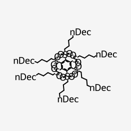 CCCCCCCCCCCCCCS(=O)(=O)c1c(S(=O)(=O)CCCCCCCCCCCCCC)c(S(=O)(=O)CCCCCCCCCCCCCC)c(S(=O)(=O)CCCCCCCCCCCCCC)c(S(=O)(=O)CCCCCCCCCCCCCC)c1S(=O)(=O)CCCCCCCCCCCCCC